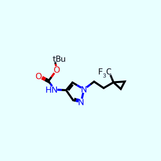 CC(C)(C)OC(=O)Nc1cnn(CCC2(C(F)(F)F)CC2)c1